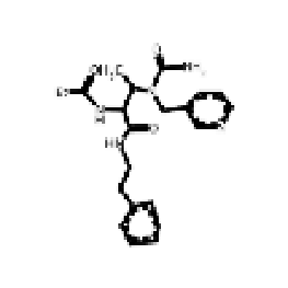 CCC(=O)NC(C(=O)NCCc1ccccc1)C(C)N(Cc1cccnc1)C(N)=O